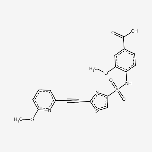 COc1cccc(C#Cc2nc(S(=O)(=O)Nc3ccc(C(=O)O)cc3OC)cs2)n1